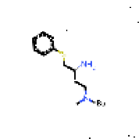 CCC(C)N(C)CC[C@@H](N)CSc1ccccc1